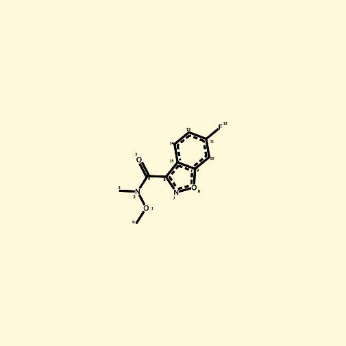 CON(C)C(=O)c1noc2cc(F)ccc12